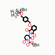 CC(C)(C)OC(=O)N1C(=O)CCC(N2C(=O)c3cccc(OCc4ccc(CO[Si](C)(C)C(C)(C)C)cc4)c3C2=O)C1=O